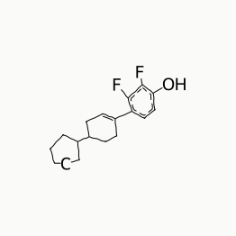 Oc1ccc(C2=CCC(C3CCCCC3)CC2)c(F)c1F